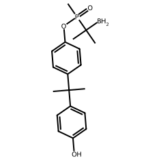 BC(C)(C)P(C)(=O)Oc1ccc(C(C)(C)c2ccc(O)cc2)cc1